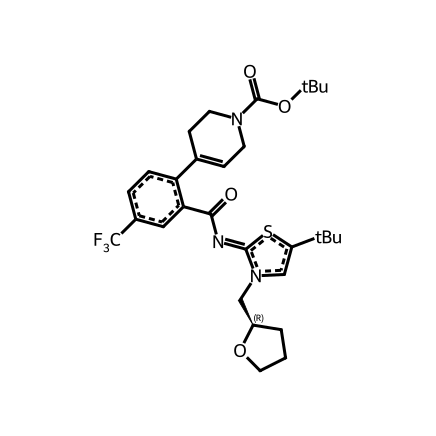 CC(C)(C)OC(=O)N1CC=C(c2ccc(C(F)(F)F)cc2C(=O)N=c2sc(C(C)(C)C)cn2C[C@H]2CCCO2)CC1